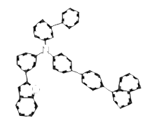 c1ccc(-c2cccc(N(c3ccc(-c4ccc(-c5cccc6ccccc56)cc4)cc3)c3cccc(-c4cc5ccccc5o4)c3)c2)cc1